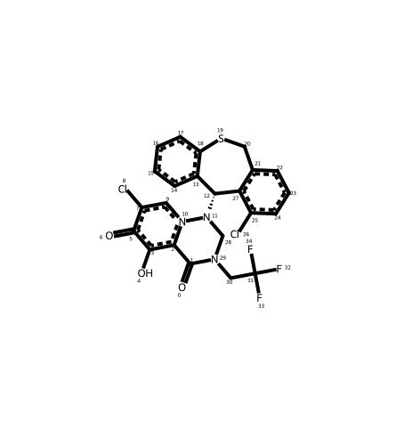 O=C1c2c(O)c(=O)c(Cl)cn2N([C@@H]2c3ccccc3SCc3cccc(Cl)c32)CN1CC(F)(F)F